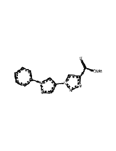 COC(=O)c1cn(-c2cnn(-c3ccccc3)c2)nn1